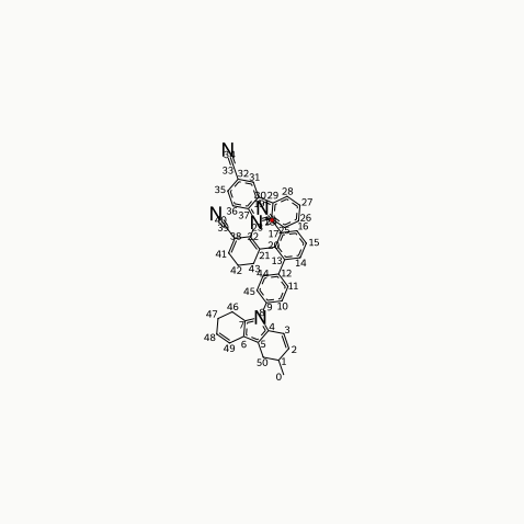 CC1C=Cc2c(c3c(n2-c2ccc(-c4cccc(C#N)c4C4=C(n5c6ccccc6c6cc(C#N)ccc65)C(C#N)=CCC4)cc2)CCC=C3)C1